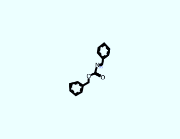 O=C(/N=C/c1ccccc1)OCc1ccccc1